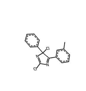 Cc1cccc(C2=NC(Cl)=NC2(Cl)c2ccccc2)c1